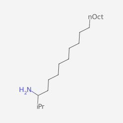 CCCCCCCCCCCCCCCCCC(N)C(C)C